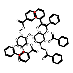 O=C(OC[C@H]1O[C@H](Br)[C@H](OC(=O)c2ccccc2)[C@@H](OC(=O)c2ccccc2)[C@@H]1O[C@H]1O[C@H](COC(=O)c2ccccc2)[C@@H](OC(=O)c2ccccc2)[C@H](OC(=O)c2ccccc2)[C@H]1OC(=O)c1ccccc1)c1ccccc1